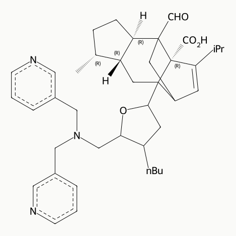 CCCCC1CC(C23C[C@@H]4[C@H](C)CC[C@H]4C4(C=O)CC2C=C(C(C)C)[C@@]34C(=O)O)OC1CN(Cc1cccnc1)Cc1cccnc1